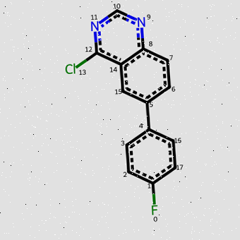 Fc1ccc(-c2ccc3ncnc(Cl)c3c2)cc1